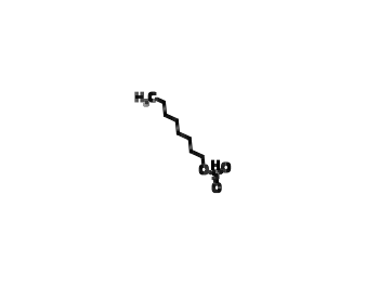 CCCCCCCCO[SH](=O)=O